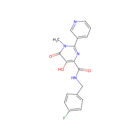 Cn1c(-c2cccnc2)nc(C(=O)NCc2ccc(F)cc2)c(O)c1=O